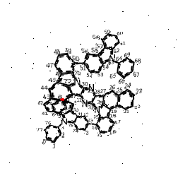 c1ccc(-n2c3ccccc3c3cc(-c4cccc5c6c7ccccc7cc7c8nc9c(nc8n(c45)c76)c4c5ccccc5cc5c6cccc(-c7ccc8c(c7)c7ccccc7n8-c7ccccc7)c6n9c54)ccc32)cc1